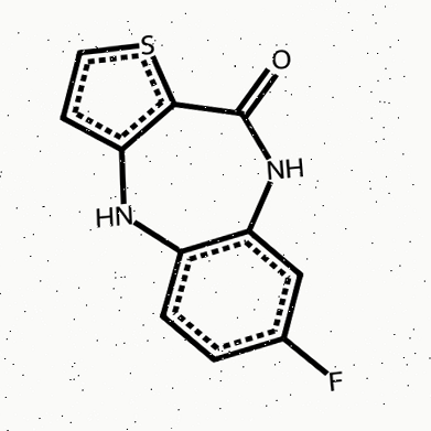 O=C1Nc2cc(F)ccc2Nc2ccsc21